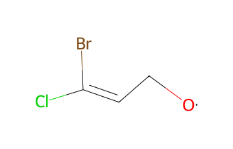 [O]CC=C(Cl)Br